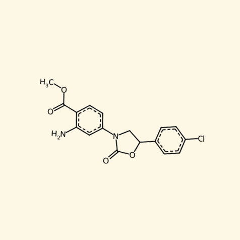 COC(=O)c1ccc(N2CC(c3ccc(Cl)cc3)OC2=O)cc1N